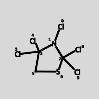 ClN1C(Cl)(Cl)CSC1(Cl)Cl